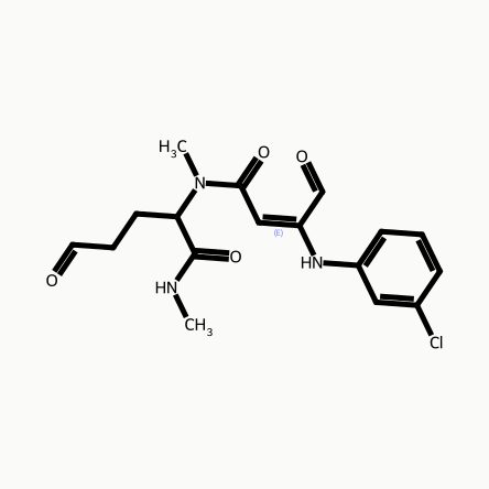 CNC(=O)C(CCC=O)N(C)C(=O)/C=C(\C=O)Nc1cccc(Cl)c1